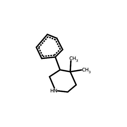 CC1(C)CCNCC1c1ccccc1